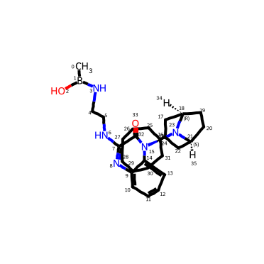 CB(O)NCCNc1nc2ccccc2n([C@H]2C[C@H]3CC[C@@H](C2)N3C2CCCCCCC2)c1=O